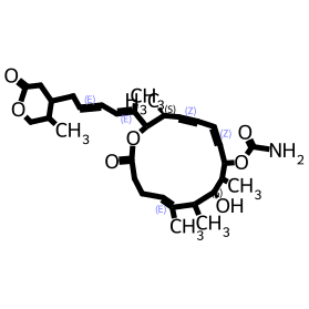 C/C1=C\CCC(=O)OC(/C(C)=C/C=C/CC2CC(=O)OCC2C)[C@@H](C)/C=C\C=C/C(OC(N)=O)C(C)[C@@H](O)C1C